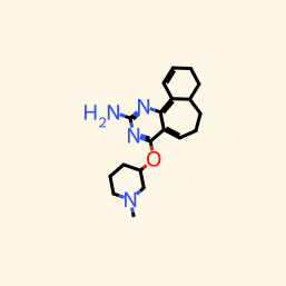 CN1CCCC(Oc2nc(N)nc3c2=CCCC2CCC=CC=32)C1